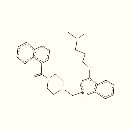 CN(C)CCCNc1nc(CN2CCN(C(=O)c3cccc4ccccc34)CC2)nc2ccccc12